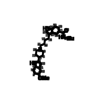 COc1ccc2[nH]c(C3CCN(CCCCc4c[nH]c5ccc(C(=O)NC(C)(C)C)cc45)CC3)cc2c1